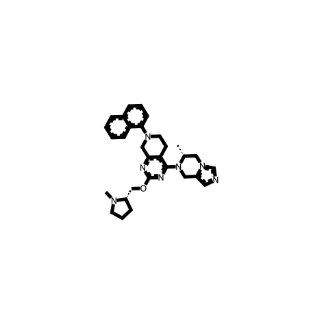 C[C@@H]1Cn2cncc2CN1c1nc(OC[C@@H]2CCCN2C)nc2c1CCN(c1cccc3ccccc13)C2